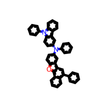 c1ccc(-c2cc3c4cc(N(c5ccccc5)c5ccc6c(c5)c5ccccc5n6-c5ccccc5)ccc4oc3c3ccccc23)cc1